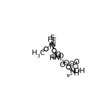 Cc1ccc(-c2cc(C(F)(F)F)nn2-c2ccc(S(=O)(=O)NC(=O)CCC(=O)Oc3ccc4c5c3OC3C(=O)CC[C@@]6(O)[C@@H](C4)N(CC4CC4)CC[C@]536)cc2)cc1